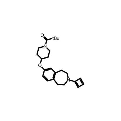 CC(C)(C)C(=O)N1CCC(Oc2ccc3c(c2)CCN(C2=CC=C2)CC3)CC1